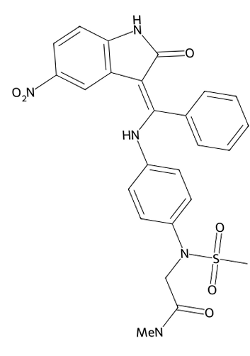 CNC(=O)CN(c1ccc(NC(=C2C(=O)Nc3ccc([N+](=O)[O-])cc32)c2ccccc2)cc1)S(C)(=O)=O